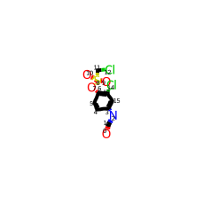 O=C=Nc1ccc(OS(=O)(=O)CCl)c(Cl)c1